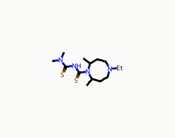 CCN1CCC(C)N(C(=S)NC(=S)N(C)C)C(C)CC1